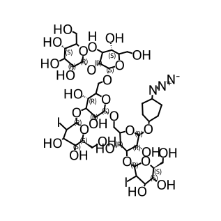 [N-]=[N+]=NC1CCC(O[C@@H]2OC(CO[C@H]3OC(CO[C@H]4OC(CO)[C@@H](O)C(O)[C@H]4O[C@H]4OC(CO)[C@@H](O)C(O)[C@H]4O)[C@@H](O)C(O[C@H]4O[C@@H](CO)[C@@H](O)C(O)C4I)[C@H]3O)[C@@H](O)C(O[C@H]3O[C@@H](CO)[C@@H](O)C(O)C3I)[C@H]2O)CC1